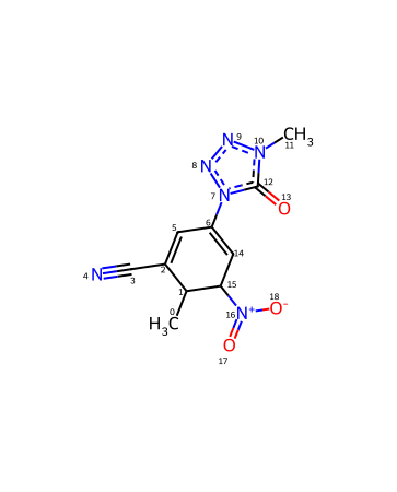 CC1C(C#N)=CC(n2nnn(C)c2=O)=CC1[N+](=O)[O-]